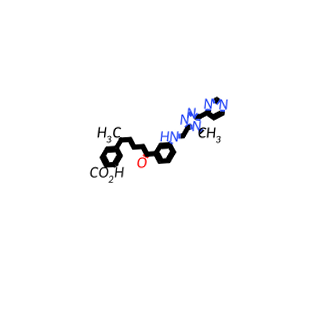 C[C@@H](CCCC(=O)c1cccc(NCc2nnc(-c3ccncn3)n2C)c1)c1cccc(C(=O)O)c1